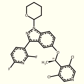 C[C@@H](Oc1ccc2c(c1)c(-c1ccc(F)nc1F)nn2C1CCCCO1)c1c(Cl)cncc1Cl